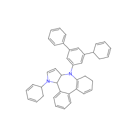 C1=CCC(c2cc(-c3ccccc3)cc(N3C4=C(C=CCC4)c4ccccc4C4C3C=CN4C3C=CC=CC3)c2)C=C1